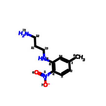 Cc1ccc([N+](=O)[O-])c(NCCCN)c1